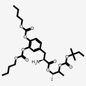 CCCCOC(=O)Oc1ccc(C[C@H](N)C(=O)O[C@@H](C)C(C)OC(=O)OC(C)(C)CC)cc1OC(=O)OCCCC